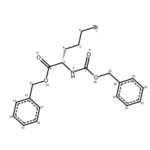 O=C(N[C@@H](CCCBr)C(=O)OCc1ccccc1)OCc1ccccc1